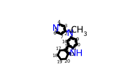 CN(c1ccncc1)c1ccc2[nH]c3c(c2c1)CCCC3